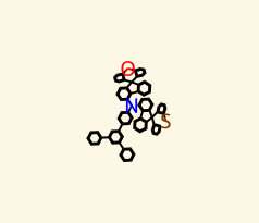 c1ccc(-c2cc(-c3ccccc3)cc(-c3ccc(N(c4cccc5c4-c4ccccc4C54c5ccccc5Oc5ccccc54)c4cccc5c4-c4ccccc4C54c5ccccc5Sc5ccccc54)cc3)c2)cc1